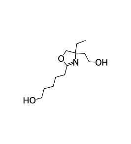 CCC1(CCO)COC(CCCCCO)=N1